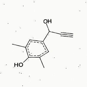 C#CC(O)c1cc(C)c(O)c(C)c1